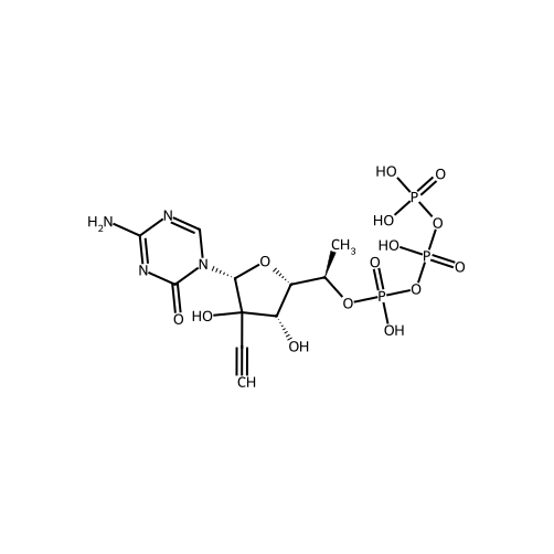 C#CC1(O)[C@@H](O)[C@@H]([C@@H](C)OP(=O)(O)OP(=O)(O)OP(=O)(O)O)O[C@H]1n1cnc(N)nc1=O